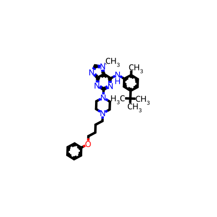 Cc1ccc(C(C)(C)C)cc1Nc1nc(N2CCN(CCCCOc3ccccc3)CC2)nc2ncn(C)c12